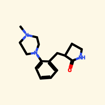 CN1CCN(c2ccccc2CC2CCNC2=O)CC1